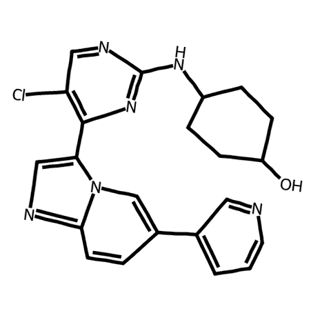 OC1CCC(Nc2ncc(Cl)c(-c3cnc4ccc(-c5cccnc5)cn34)n2)CC1